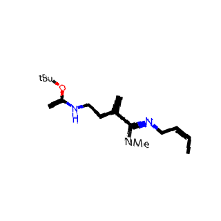 C=C(NCCC(=C)/C(=N/C/C=C\C)NC)OC(C)(C)C